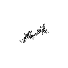 Cc1ncsc1-c1ccc(CNC(=O)[C@@H]2C[C@@H](O)CN2C(=O)C(NC(=O)COCCN2CCN(c3ccc(C(=O)N[C@H]4C(C)(C)[C@H](Oc5ccc(C#N)c(Cl)c5)C4(C)C)cc3)CC2)C(C)(C)C)cc1